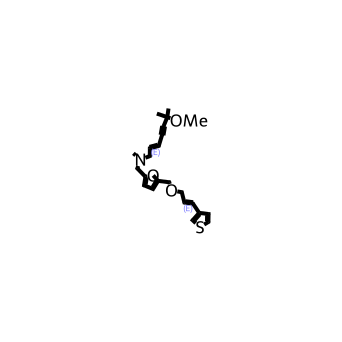 COC(C)(C)C#C/C=C/CN(C)Cc1ccc(COC/C=C/c2ccsc2)o1